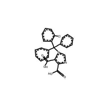 O=C(O)c1ncn(C(c2ccccc2)(c2ccccc2)c2ccccc2Cl)c1C(=O)O